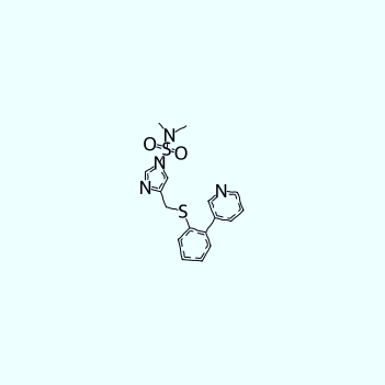 CN(C)S(=O)(=O)n1cnc(CSc2ccccc2-c2cccnc2)c1